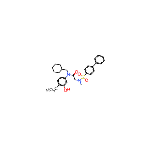 CN(CC(=O)N(CC1CCCCC1)c1ccc(C(=O)O)c(O)c1)S(=O)(=O)c1ccc(-c2ccccc2)cc1